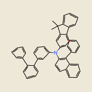 CC1(C)c2ccccc2-c2ccc(N(c3cccc(-c4ccccc4-c4ccccc4)c3)c3ccc4ccccc4c3-c3ccccc3)cc21